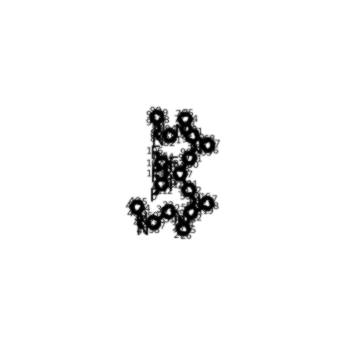 Fc1cc(F)c(B(c2cc(-c3ccc(-n4c5ccccc5c5cc6c7ccccc7n(-c7cccc(-c8ccc9ncn(-c%10ccccc%10)c9c8)c7)c6cc54)cc3)cc(-c3ccc(-n4c5ccccc5c5cc6c7ccccc7n(-c7ccc8ncn(-c9ccccc9)c8c7)c6cc54)cc3)c2)c2c(F)cc(F)cc2F)c(F)c1